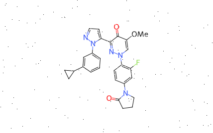 COc1cn(-c2ccc(N3CCCC3=O)cc2F)nc(-c2ccnn2-c2cccc(C3CC3)c2)c1=O